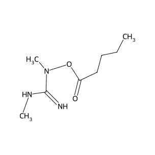 CCCCC(=O)ON(C)C(=N)NC